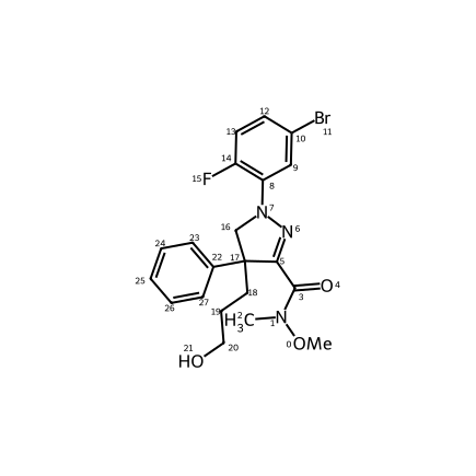 CON(C)C(=O)C1=NN(c2cc(Br)ccc2F)CC1(CCCO)c1ccccc1